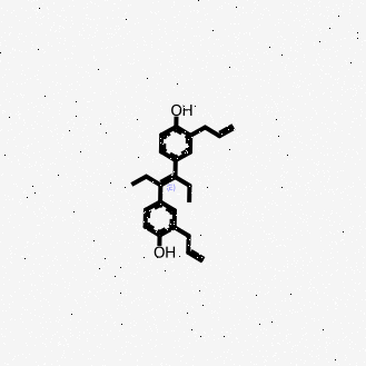 C=CCc1cc(/C(CC)=C(\CC)c2ccc(O)c(CC=C)c2)ccc1O